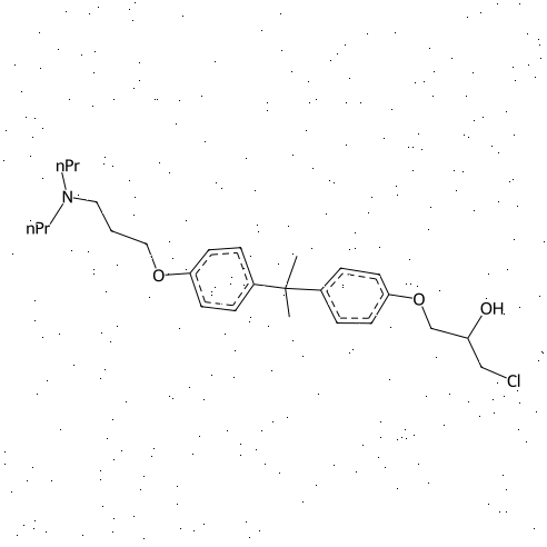 CCCN(CCC)CCCOc1ccc(C(C)(C)c2ccc(OCC(O)CCl)cc2)cc1